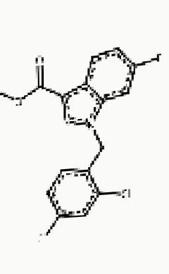 COC(=O)c1nn(Cc2ccc(Cl)cc2Cl)c2cc(F)ccc12